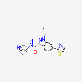 CCCn1nc(C(=O)NC2CN3CCC2CC3)c2ccc(-c3nccs3)cc21